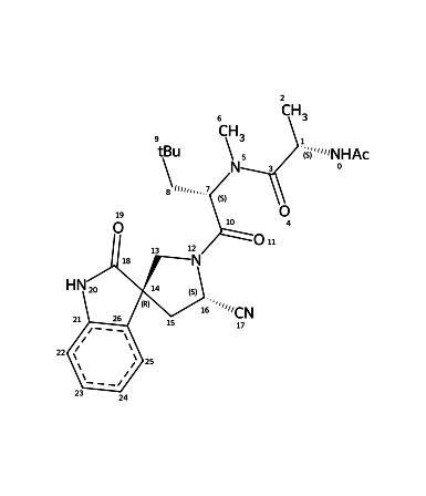 CC(=O)N[C@@H](C)C(=O)N(C)[C@@H](CC(C)(C)C)C(=O)N1C[C@]2(C[C@H]1C#N)C(=O)Nc1ccccc12